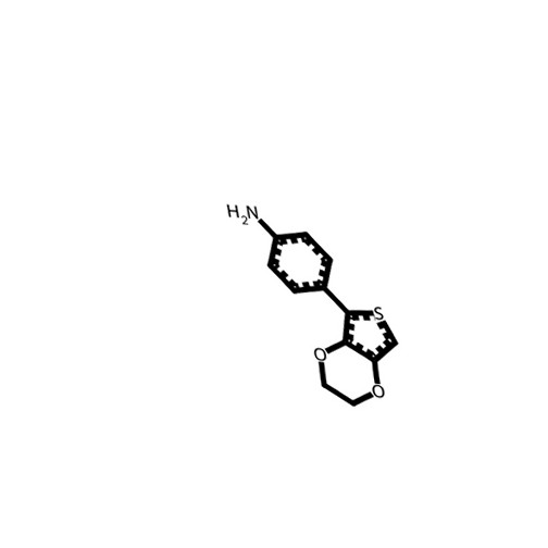 Nc1ccc(-c2scc3c2OCCO3)cc1